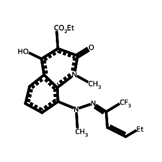 CC/C=C\C(=N/N(C)c1cccc2c(O)c(C(=O)OCC)c(=O)n(C)c12)C(F)(F)F